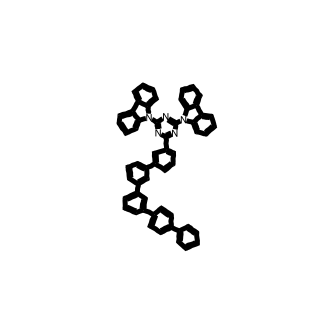 c1ccc(-c2ccc(-c3cccc(-c4cccc(-c5cccc(-c6nc(-n7c8ccccc8c8ccccc87)nc(-n7c8ccccc8c8ccccc87)n6)c5)c4)c3)cc2)cc1